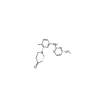 Cc1ccc(Nc2nccc(C(F)(F)F)n2)cc1N1CCC(=O)CC1